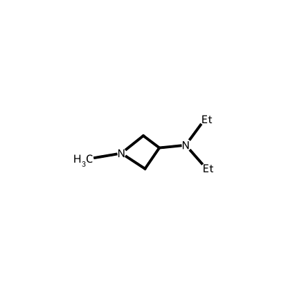 CCN(CC)C1CN(C)C1